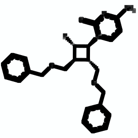 Nc1ccn([C@@H]2[C@@H](F)[C@H](COCc3ccccc3)[C@H]2COCc2ccccc2)c(=O)n1